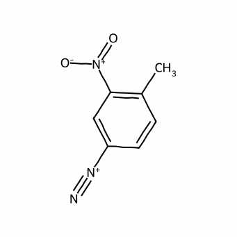 Cc1ccc([N+]#N)cc1[N+](=O)[O-]